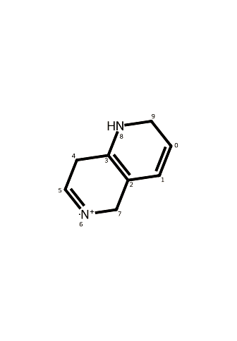 C1=CC2=C(CC=[N+]C2)NC1